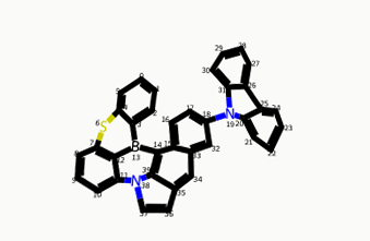 c1ccc2c(c1)Sc1cccc3c1B2c1c2ccc(-n4c5ccccc5c5ccccc54)cc2cc2ccn-3c12